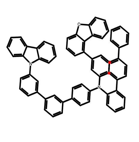 c1ccc(-c2ccc(-c3ccccc3N(c3ccc(-c4cccc(-c5cccc(-n6c7ccccc7c7ccccc76)c5)c4)cc3)c3cccc(-c4cccc5oc6ccccc6c45)c3)cc2)cc1